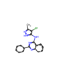 Cc1n[nH]c(Nc2nc(-c3ccccc3)nc3ccccc23)c1Br